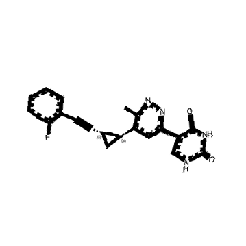 Cc1nnc(-c2c[nH]c(=O)[nH]c2=O)cc1[C@H]1C[C@@H]1C#Cc1ccccc1F